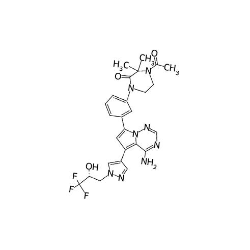 CC(=O)N1CCN(c2cccc(-c3cc(-c4cnn(C[C@@H](O)C(F)(F)F)c4)c4c(N)ncnn34)c2)C(=O)C1(C)C